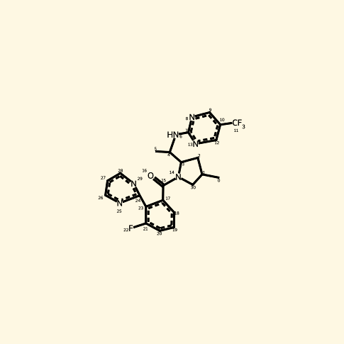 CC1CC(C(C)Nc2ncc(C(F)(F)F)cn2)N(C(=O)c2cccc(F)c2-c2ncccn2)C1